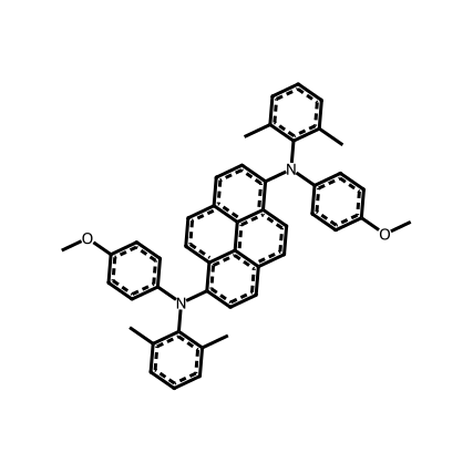 COc1ccc(N(c2c(C)cccc2C)c2ccc3ccc4c(N(c5ccc(OC)cc5)c5c(C)cccc5C)ccc5ccc2c3c54)cc1